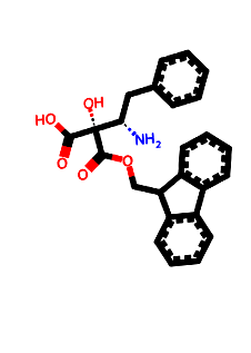 N[C@@H](Cc1ccccc1)[C@](O)(C(=O)O)C(=O)OCC1c2ccccc2-c2ccccc21